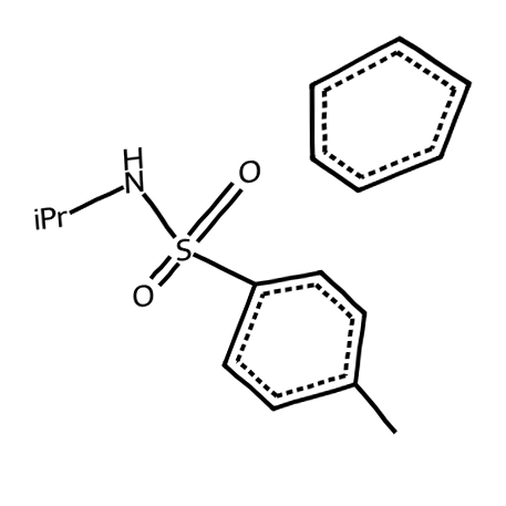 Cc1ccc(S(=O)(=O)NC(C)C)cc1.c1ccccc1